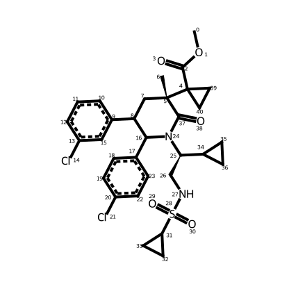 COC(=O)C1([C@@]2(C)CC(c3cccc(Cl)c3)C(c3ccc(Cl)cc3)N([C@H](CNS(=O)(=O)C3CC3)C3CC3)C2=O)CC1